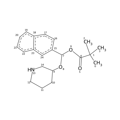 CC(C)(C)C(=O)OC(OC1CCCNC1)c1ccc2ccccc2c1